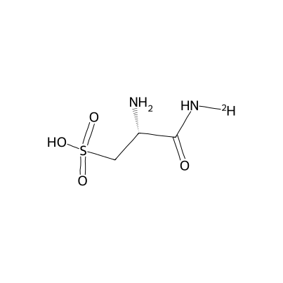 [2H]NC(=O)[C@@H](N)CS(=O)(=O)O